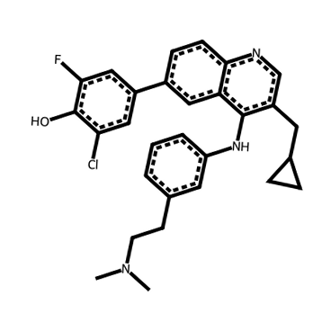 CN(C)CCc1cccc(Nc2c(CC3CC3)cnc3ccc(-c4cc(F)c(O)c(Cl)c4)cc23)c1